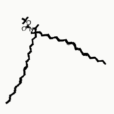 CCCCCC=CCC=CCCCCCCCCC1(CCCCCCCCC=CCC=CCCCCC)CN(C(=O)OC(C)(C)C)C1C